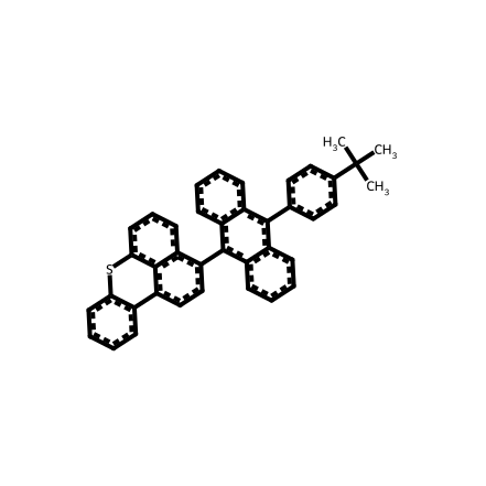 CC(C)(C)c1ccc(-c2c3ccccc3c(-c3ccc4c5c(cccc35)Sc3ccccc3-4)c3ccccc23)cc1